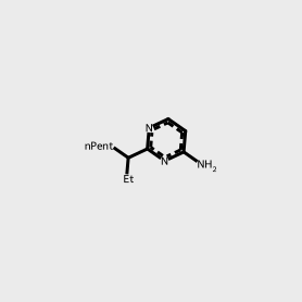 CCCCCC(CC)c1nccc(N)n1